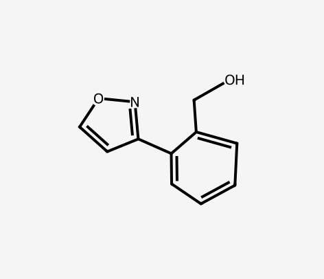 OCc1ccccc1-c1ccon1